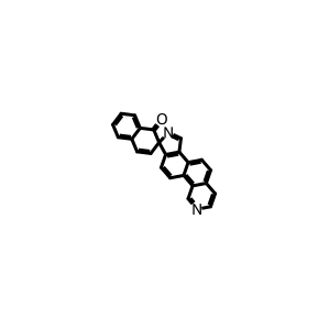 O=C1c2ccccc2C=CC12N=Cc1c2ccc2c1ccc1ccncc12